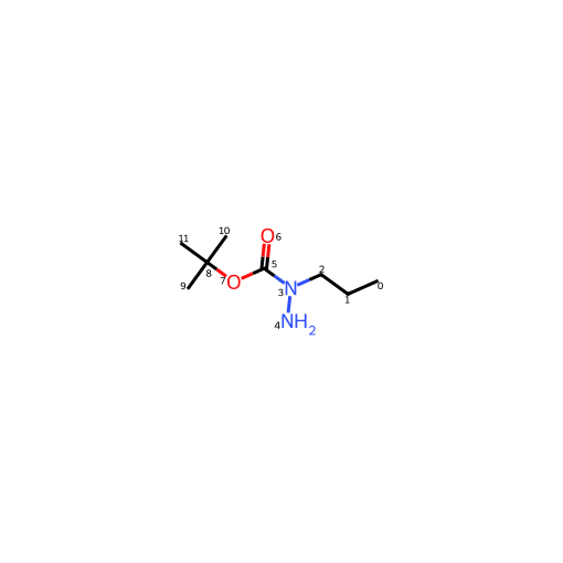 CCCN(N)C(=O)OC(C)(C)C